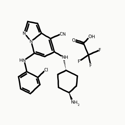 N#Cc1c(N[C@H]2CC[C@H](N)CC2)cc(Nc2ccccc2Cl)n2nccc12.O=C(O)C(F)(F)F